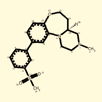 CN1CCN2c3cc(-c4cccc(S(C)(=O)=O)c4)ccc3OCC[C@H]2C1